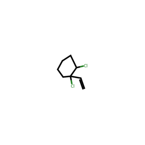 C=CC1(Cl)CCCCC1Cl